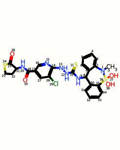 CN1c2ccccc2C(NC(=S)NNc2ncc(C(=O)NC3CCSC3=O)cc2Cl)c2ccccc2S1(O)O